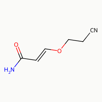 N#CCCOC=CC(N)=O